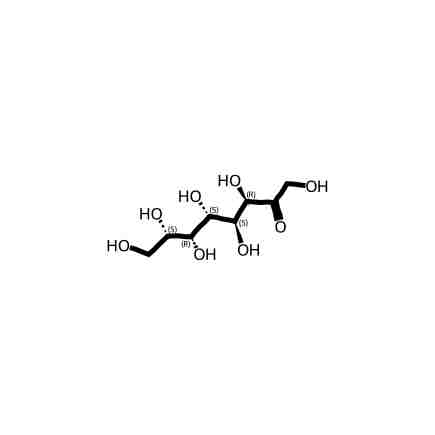 O=C(CO)[C@H](O)[C@@H](O)[C@@H](O)[C@H](O)[C@@H](O)CO